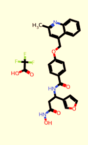 Cc1cc(COc2ccc(C(=O)NC(CC(=O)NO)c3ccoc3)cc2)c2ccccc2n1.O=C(O)C(F)(F)F